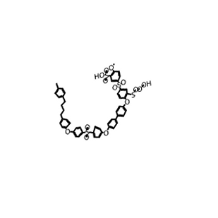 COc1ccc(S(=O)(=O)c2ccc(Oc3ccc(-c4ccc(Oc5ccc(S(=O)(=O)c6ccc(Oc7ccc(CCCCc8ccc(C)cc8)cc7)cc6)cc5)cc4)cc3)c(SOOO)c2)cc1S(=O)(=O)O